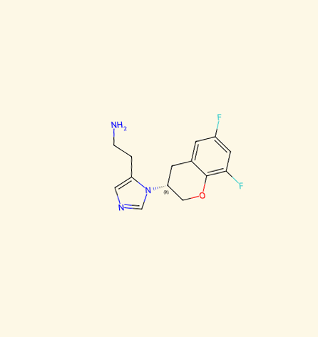 NCCc1cncn1[C@H]1COc2c(F)cc(F)cc2C1